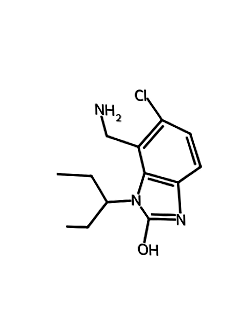 CCC(CC)n1c(O)nc2ccc(Cl)c(CN)c21